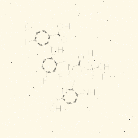 COc1ccc(N)c(CCN(Cc2c(Nc3cc(F)c(Cl)cc3C(=O)O)ccc(F)c2F)C(=O)OC(C)(C)C)n1